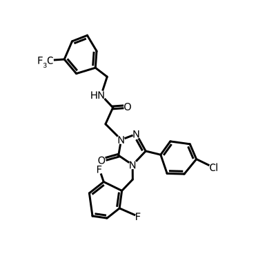 O=C(Cn1nc(-c2ccc(Cl)cc2)n(Cc2c(F)cccc2F)c1=O)NCc1cccc(C(F)(F)F)c1